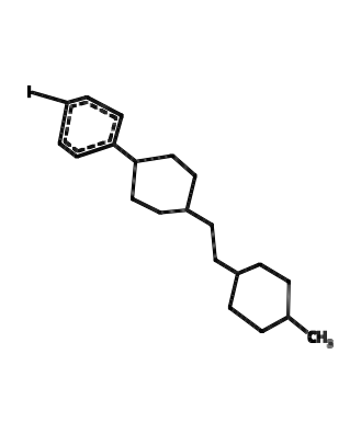 CC1CCC(CCC2CCC(c3ccc(I)cc3)CC2)CC1